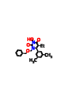 CCc1c(-c2cc(C)cc(C)c2)n(COCc2ccccc2)c(=O)n(O)c1=O